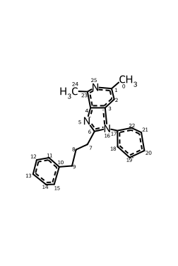 Cc1cc2c(nc(CCCc3ccccc3)n2-c2c[c]ccc2)c(C)n1